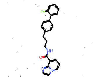 O=C(NCCCc1ccc(-c2ccccc2F)cc1)c1cccn2ccnc12